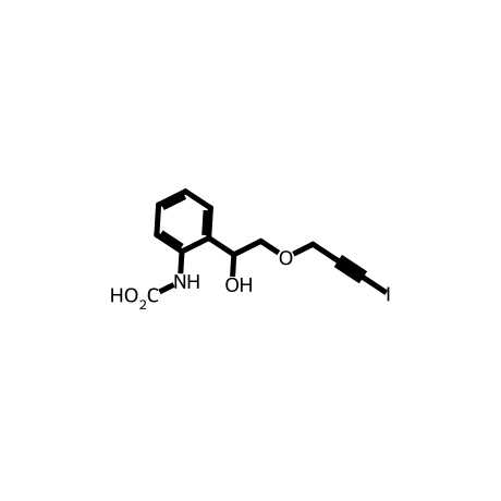 O=C(O)Nc1ccccc1C(O)COCC#CI